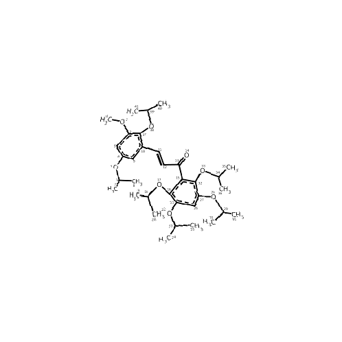 COc1cc(OC(C)C)cc(C=CC(=O)c2c(OC(C)C)c(OC(C)C)cc(OC(C)C)c2OC(C)C)c1OC(C)C